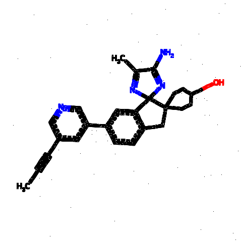 CC#Cc1cncc(-c2ccc3c(c2)C2(N=C(C)C(N)=N2)C2(CCC(O)CC2)C3)c1